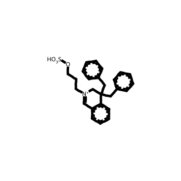 O=S(=O)(O)OCCC[N+]1=Cc2ccccc2C(Cc2ccccc2)(Cc2ccccc2)C1